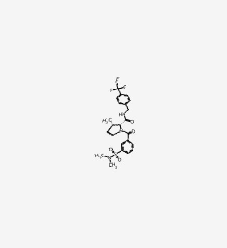 C[C@H]1CCN(C(=O)c2cccc(S(=O)(=O)N(C)C)c2)[C@H]1C(=O)NCc1ccc(C(F)(F)F)cc1